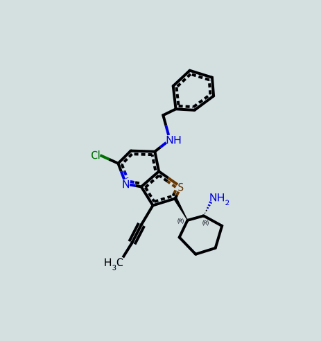 CC#Cc1c([C@@H]2CCCC[C@H]2N)sc2c(NCc3ccccc3)cc(Cl)nc12